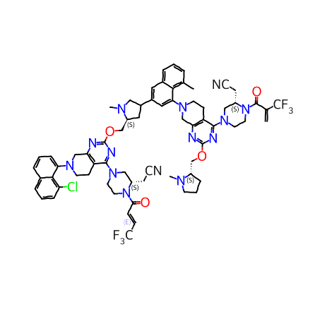 C=C(C(=O)N1CCN(c2nc(OC[C@@H]3CCCN3C)nc3c2CCN(c2cc(C4C[C@@H](COc5nc6c(c(N7CCN(C(=O)/C=C/C(F)(F)F)[C@@H](CC#N)C7)n5)CCN(c5cccc7cccc(Cl)c57)C6)N(C)C4)cc4cccc(C)c24)C3)C[C@@H]1CC#N)C(F)(F)F